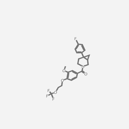 COc1cc(C(=O)N2CCC3(c4ccc(F)cc4)CC3C2)ccc1OCCOC(F)(F)F